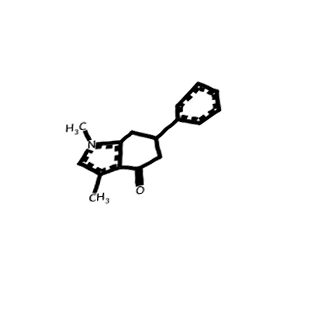 Cc1cn(C)c2c1C(=O)CC(c1ccccc1)C2